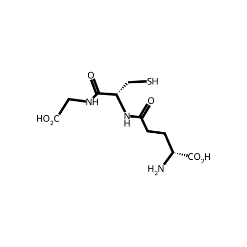 N[C@H](CCC(=O)N[C@@H](CS)C(=O)NCC(=O)O)C(=O)O